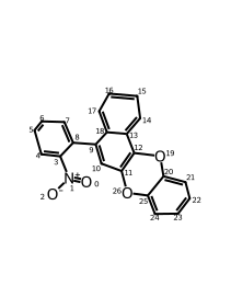 O=[N+]([O-])c1ccccc1-c1cc2c(c3ccccc13)Oc1ccccc1O2